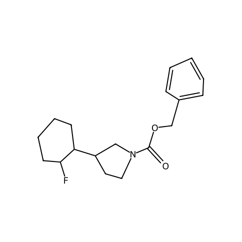 O=C(OCc1ccccc1)N1CCC(C2CCCCC2F)C1